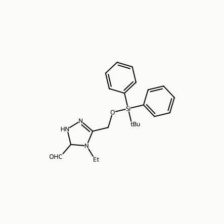 CCN1C(CO[Si](c2ccccc2)(c2ccccc2)C(C)(C)C)=NNC1C=O